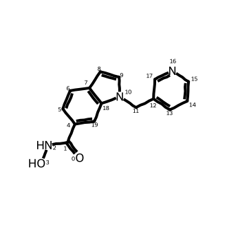 O=C(NO)c1ccc2ccn(Cc3cccnc3)c2c1